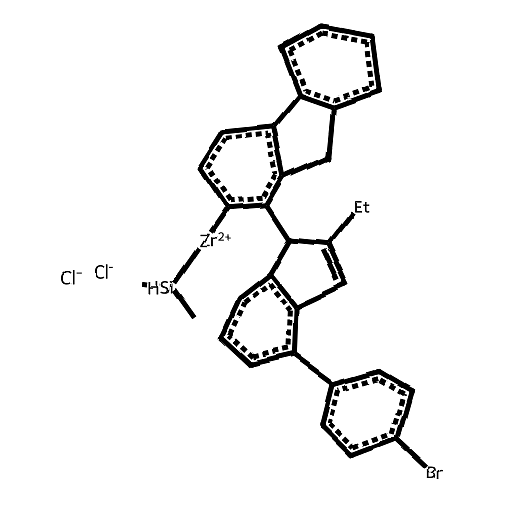 CCC1=Cc2c(-c3ccc(Br)cc3)cccc2C1c1[c]([Zr+2][SiH](C)C)ccc2c1Cc1ccccc1-2.[Cl-].[Cl-]